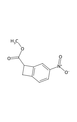 COC(=O)C1Cc2ccc([N+](=O)[O-])cc21